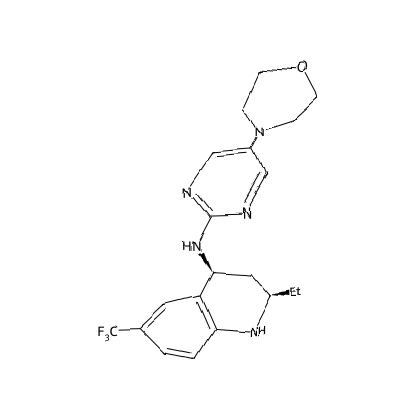 CC[C@@H]1C[C@H](Nc2ncc(N3CCOCC3)cn2)c2cc(C(F)(F)F)ccc2N1